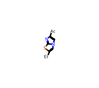 CCc1cn2cc(C(C)=O)nc2s1